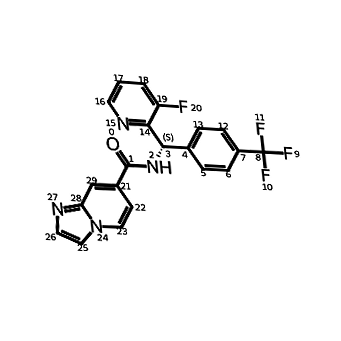 O=C(N[C@@H](c1ccc(C(F)(F)F)cc1)c1ncccc1F)c1ccn2ccnc2c1